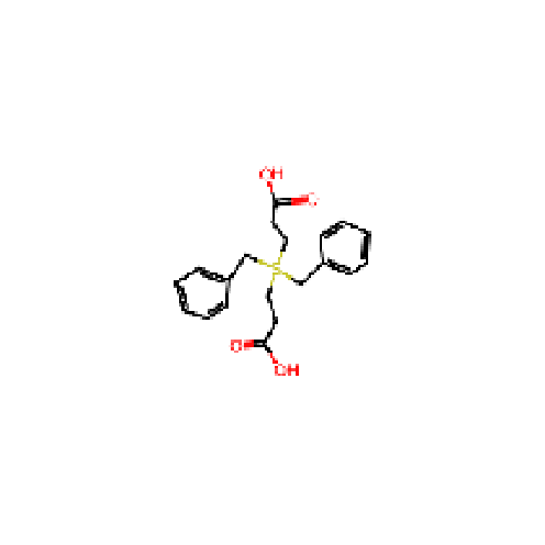 O=C(O)CCS(CCC(=O)O)(Cc1ccccc1)Cc1ccccc1